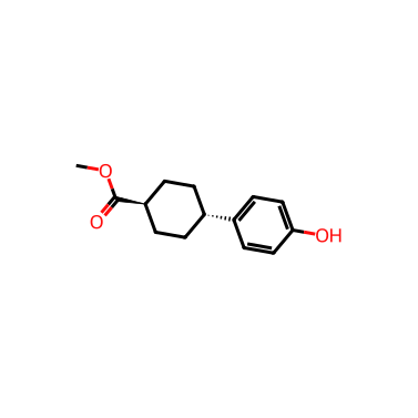 COC(=O)[C@H]1CC[C@H](c2ccc(O)cc2)CC1